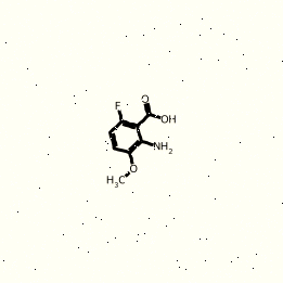 COc1ccc(F)c(C(=O)O)c1N